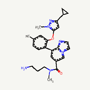 CN(CCCN)C(=O)c1cc(-c2ccc(C#N)cc2Oc2cc(C3CC3)nn2C)c2nccn2c1